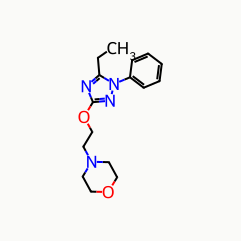 CCc1nc(OCCN2CCOCC2)nn1-c1ccccc1